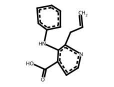 C=CCc1nccc(C(=O)O)c1Nc1ccccc1